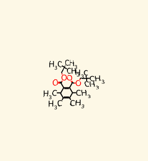 CC1=C(C)C(C)C(C(=O)OCC(C)(C)C)=C(C(=O)OCC(C)(C)C)C1C